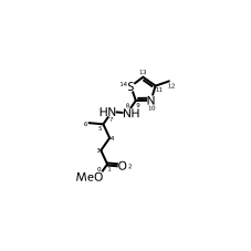 COC(=O)CCC(C)NNc1nc(C)cs1